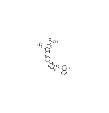 O=C(O)c1cc2c(nc(CN3CC=C(c4ncc(F)c(OCc5ccc(Cl)c6ccoc56)n4)CC3)n2CC2CCO2)s1